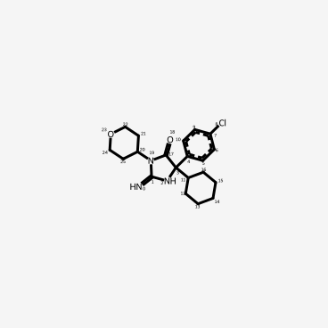 N=C1NC(c2ccc(Cl)cc2)(C2CCCCC2)C(=O)N1C1CCOCC1